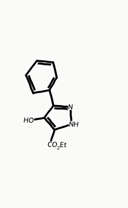 CCOC(=O)c1[nH]nc(-c2ccccc2)c1O